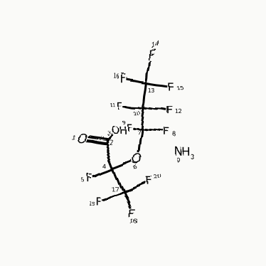 N.O=C(O)C(F)(OC(F)(F)C(F)(F)C(F)(F)F)C(F)(F)F